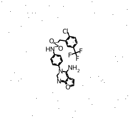 NC1=c2ccoc2=NCN1c1ccc(NS(=O)(=O)Cc2cc(C(F)(F)F)ccc2Cl)cc1